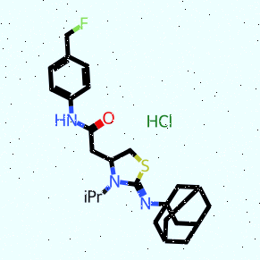 CC(C)N1C(=NC23CC4CC(CC(C4)C2)C3)SCC1CC(=O)Nc1ccc(CF)cc1.Cl